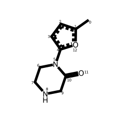 Cc1ccc(N2CCNCC2=O)o1